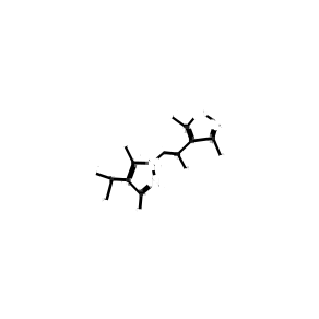 Cc1nn(CC(C)c2c(C)noc2C)c(C)c1C(C)C